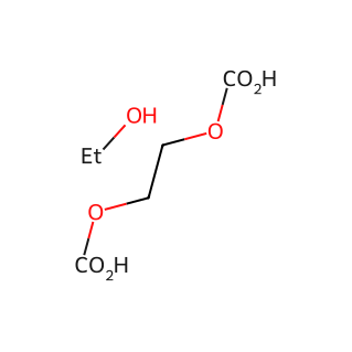 CCO.O=C(O)OCCOC(=O)O